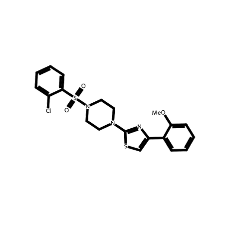 COc1ccccc1-c1csc(N2CCN(S(=O)(=O)c3ccccc3Cl)CC2)n1